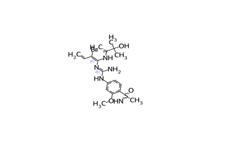 C=C/C(Br)=C(\N=C(/N)Nc1ccc(S(C)(=N)=O)c(OC)c1)N[C@H](C)C(C)(C)O